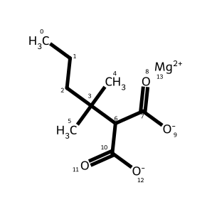 CCCC(C)(C)C(C(=O)[O-])C(=O)[O-].[Mg+2]